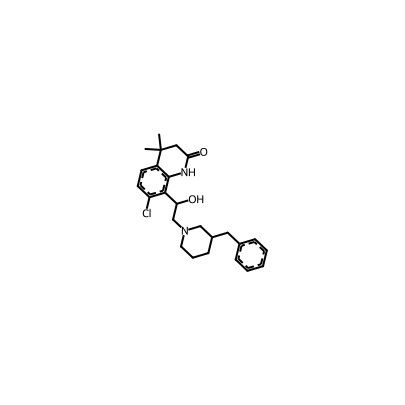 CC1(C)CC(=O)Nc2c1ccc(Cl)c2C(O)CN1CCCC(Cc2ccccc2)C1